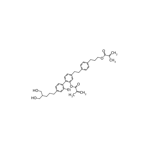 C=C(C)C(=O)OCCCc1ccc(CCc2ccc(-c3ccc(CCCC(CO)CO)cc3CC)c(OC(=O)C(=C)C)c2)cc1